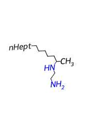 CCCCCCCCCCCCC(C)NCCN